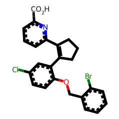 O=C(O)c1cccc(C2=C(c3cc(Cl)ccc3OCc3ccccc3Br)CCC2)n1